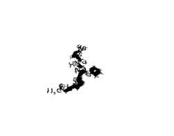 CN(C)CC#Cc1ccc(-c2nc(NC(=O)c3ccc([N+](=O)[O-])s3)sc2Oc2ccccc2)s1